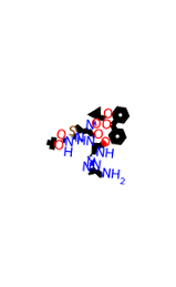 CC(C)(C)OC(=O)Nc1nc(C(=NOC2(C(=O)OC(c3ccccc3)c3ccccc3)CC2)C(=O)N[C@@H]2C(=O)N[C@@H]2Cn2ncc(CN)n2)cs1